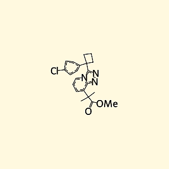 COC(=O)C(C)(C)c1cccn2c(C3(c4ccc(Cl)cc4)CCC3)nnc12